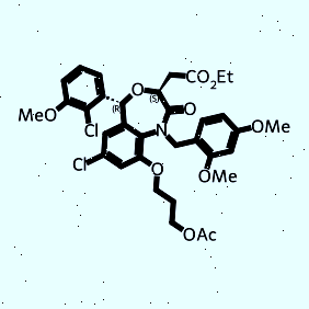 CCOC(=O)C[C@@H]1O[C@@H](c2cccc(OC)c2Cl)c2cc(Cl)cc(OCCCOC(C)=O)c2N(Cc2ccc(OC)cc2OC)C1=O